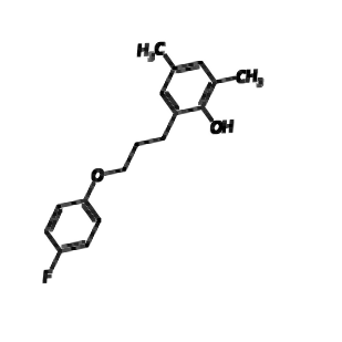 Cc1cc(C)c(O)c(CCCOc2ccc(F)cc2)c1